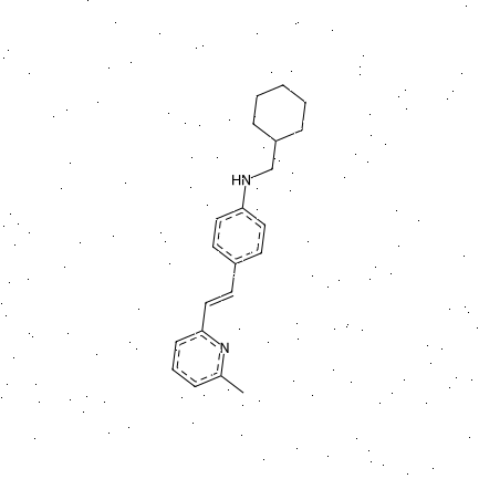 Cc1cccc(C=Cc2ccc(NCC3CCCCC3)cc2)n1